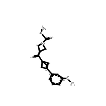 CC(C)(C)OC(=O)N1CC(C(=O)C23CC(c4cccc(OC(F)(F)F)c4)(C2)C3)C1